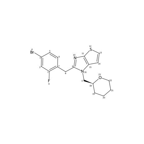 Fc1cc(Br)ccc1Cc1nc2sccc2n1C[C@@H]1CCCCO1